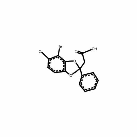 O=C(O)CC1(c2ccccc2)Oc2ccc(Cl)c(Br)c2O1